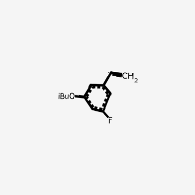 C=[C]c1cc(F)cc(OCC(C)C)c1